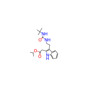 CC(C)OC(=O)Cc1[nH]c2ccccc2c1CCNC(=O)NC(C)(C)C